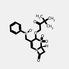 CC(C)(C)C(=O)COC1C(C[S+]([O-])c2ccccc2)=CN2C(=O)C[C@H]2S1(=O)=O